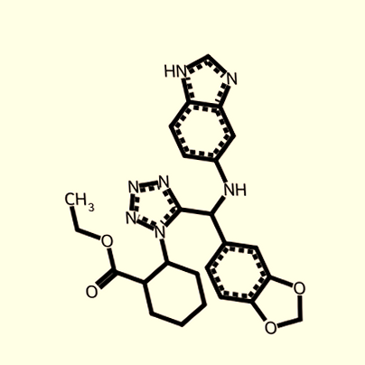 CCOC(=O)C1CCCCC1n1nnnc1C(Nc1ccc2[nH]cnc2c1)c1ccc2c(c1)OCO2